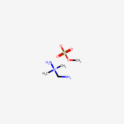 COS(=O)(=O)[O-].C[N+](C)(N)CN